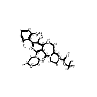 C[C@H]1CN(c2nc(-c3c(O)cccc3F)c(Cl)c3c2C(=O)N2CCN(C(=O)OC(C)(C)C)CC2CO3)CCO1